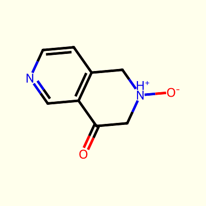 O=C1C[NH+]([O-])Cc2ccncc21